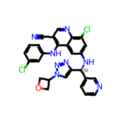 N#Cc1cnc2c(Cl)cc(N[C@@H](c3cccnc3)c3cn(C4COC4)nn3)cc2c1Nc1cccc(Cl)c1